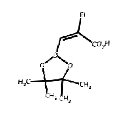 CCC(=CB1OC(C)(C)C(C)(C)O1)C(=O)O